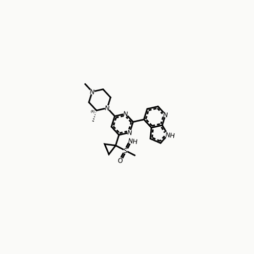 C[C@@H]1CN(C)CCN1c1cc(C2(S(C)(=N)=O)CC2)nc(-c2ccnc3[nH]ccc23)n1